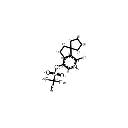 O=S(=O)(Oc1cnc(I)c2c1CCC21CCCC1)C(F)(F)F